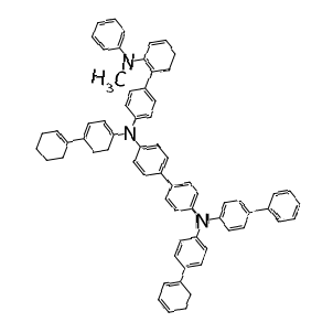 CN(C1=C(c2ccc(N(C3=CC=C(C4=CCCCC4)CC3)c3ccc(-c4ccc(N(c5ccc(C6=CC=CCC6)cc5)c5ccc(-c6ccccc6)cc5)cc4)cc3)cc2)CCC=C1)c1ccccc1